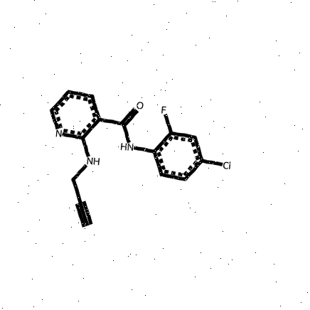 C#CCNc1ncccc1C(=O)Nc1ccc(Cl)cc1F